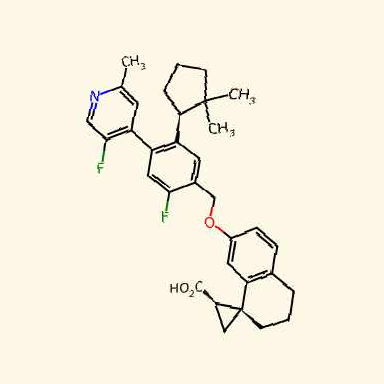 Cc1cc(-c2cc(F)c(COc3ccc4c(c3)[C@]3(CCC4)C[C@H]3C(=O)O)cc2[C@H]2CCCC2(C)C)c(F)cn1